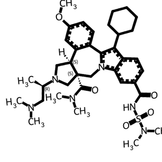 COc1ccc2c(c1)[C@@H]1CN([C@H](C)CN(C)C)C[C@]1(C(=O)N(C)C)Cn1c-2c(C2CCCCC2)c2ccc(C(=O)NS(=O)(=O)N(C)C)cc21